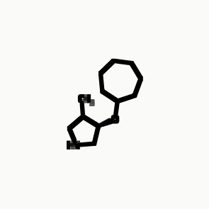 CC1CNC[C@@H]1OC1CCCCCC1